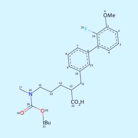 COc1cccc(-c2cccc(CC(CCCN(C)C(=O)OC(C)(C)C)C(=O)O)c2)c1F